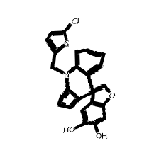 Oc1cc2c(cc1O)C1(CO2)c2ccccc2N(Cc2ccc(Cl)s2)c2ccccc21